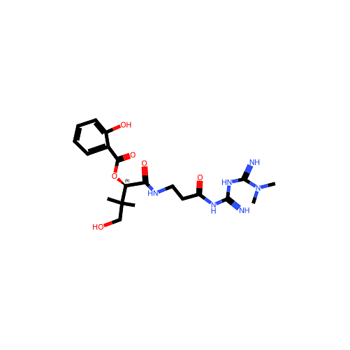 CN(C)C(=N)NC(=N)NC(=O)CCNC(=O)[C@H](OC(=O)c1ccccc1O)C(C)(C)CO